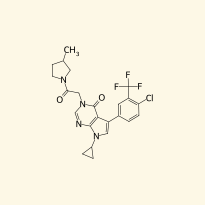 CC1CCN(C(=O)Cn2cnc3c(c(-c4ccc(Cl)c(C(F)(F)F)c4)cn3C3CC3)c2=O)C1